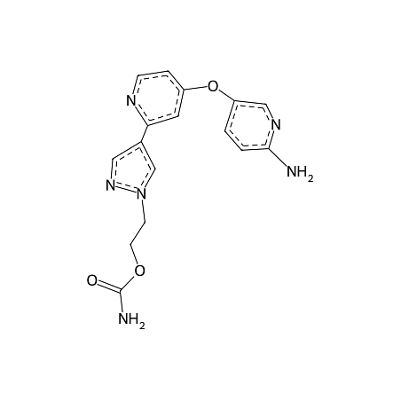 NC(=O)OCCn1cc(-c2cc(Oc3ccc(N)nc3)ccn2)cn1